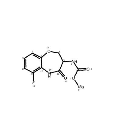 CC(C)(C)OC(=O)NC1COc2cccc(F)c2NC1=O